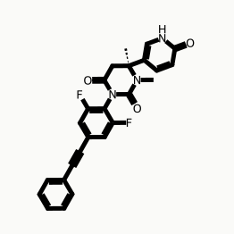 CN1C(=O)N(c2c(F)cc(C#Cc3ccccc3)cc2F)C(=O)C[C@@]1(C)c1ccc(=O)[nH]c1